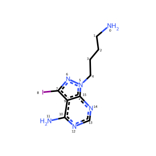 NCCCCn1nc(I)c2c(N)ncnc21